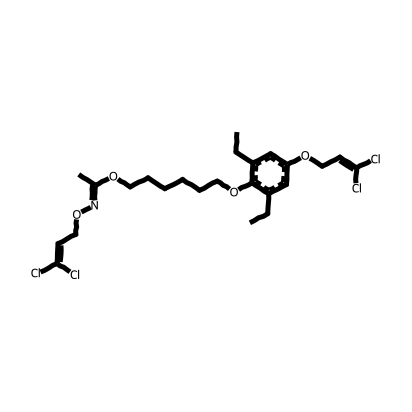 CCc1cc(OCC=C(Cl)Cl)cc(CC)c1OCCCCCCOC(C)=NOCC=C(Cl)Cl